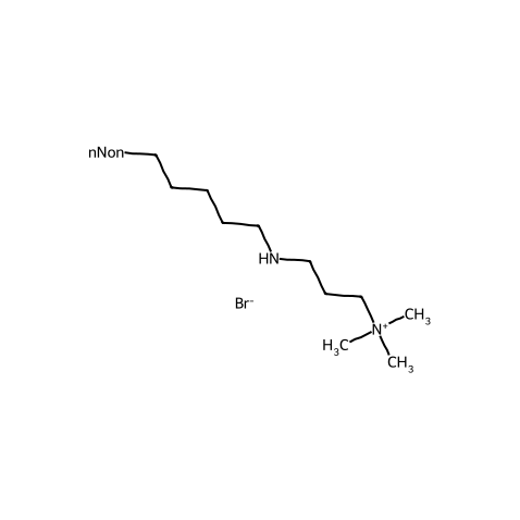 CCCCCCCCCCCCCCNCCC[N+](C)(C)C.[Br-]